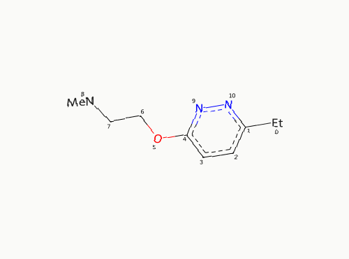 CCc1ccc(OCCNC)nn1